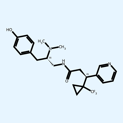 CN(C)[C@H](CNC(=O)C[C@@H](c1cccnc1)C1(C(F)(F)F)CC1)Cc1ccc(O)cc1